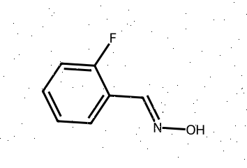 O/N=C/c1ccccc1F